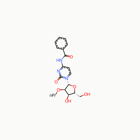 CCCO[C@@H]1[C@H](O)[C@@H](CO)O[C@H]1n1ccc(NC(=O)c2ccccc2)nc1=O